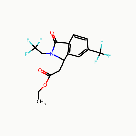 CCOC(=O)CC1c2cc(C(F)(F)F)ccc2C(=O)N1CC(F)(F)F